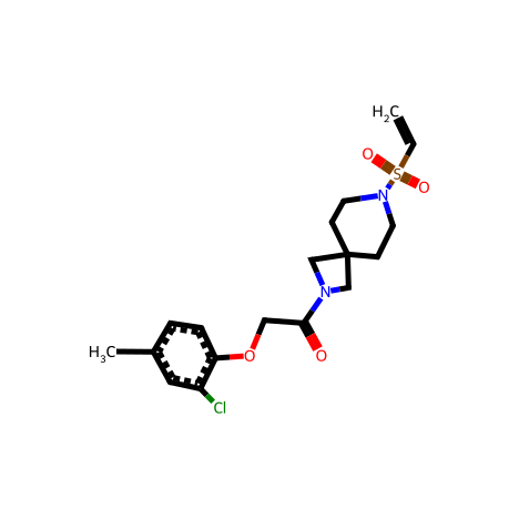 C=CS(=O)(=O)N1CCC2(CC1)CN(C(=O)COc1ccc(C)cc1Cl)C2